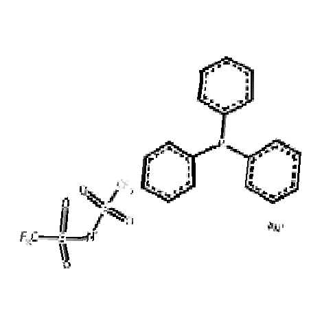 O=S(=O)([N-]S(=O)(=O)C(F)(F)F)C(F)(F)F.[Au+].c1ccc(P(c2ccccc2)c2ccccc2)cc1